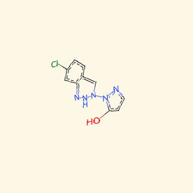 Oc1ccnn1N1C=c2ccc(Cl)cc2=NN1